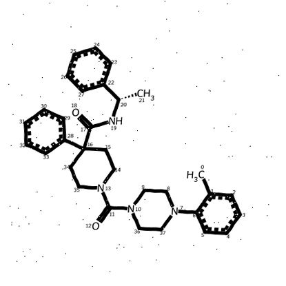 Cc1ccccc1N1CCN(C(=O)N2CCC(C(=O)N[C@@H](C)c3ccccc3)(c3ccccc3)CC2)CC1